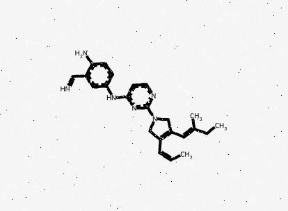 C/C=C\C1=C(/C=C(\C)CC)CN(c2nccc(Nc3ccc(N)c(C=N)c3)n2)C1